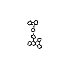 c1ccc2c(-c3ccc(-c4ccc(-n5c6ccccc6c6ccccc65)cc4)cc3)c3c4ccccc4c4ccccc4c3cc2c1